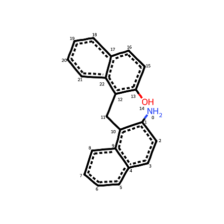 Nc1ccc2ccccc2c1Cc1c(O)ccc2ccccc12